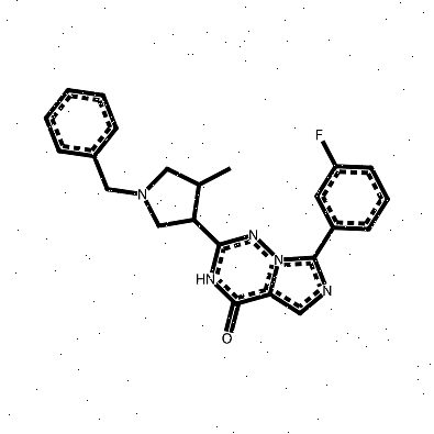 CC1CN(Cc2ccccc2)CC1c1nn2c(-c3cccc(F)c3)ncc2c(=O)[nH]1